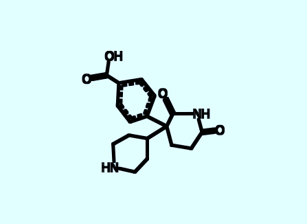 O=C1CCC(c2ccc(C(=O)O)cc2)(C2CCNCC2)C(=O)N1